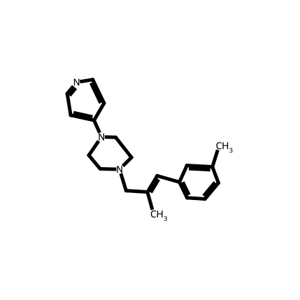 C/C(=C\c1cccc(C)c1)CN1CCN(c2ccncc2)CC1